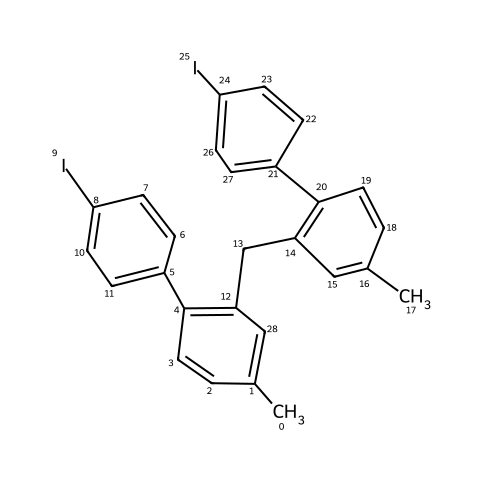 Cc1ccc(-c2ccc(I)cc2)c(Cc2cc(C)ccc2-c2ccc(I)cc2)c1